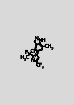 Cc1cc(-n2cc(C(F)(F)F)nc2C(C)(C)F)cc2cn[nH]c12